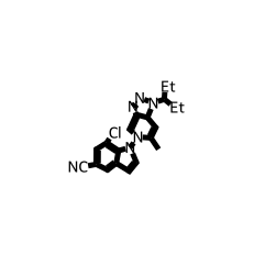 CCC(CC)N1N=NC2=CN(n3ccc4cc(C#N)cc(Cl)c43)C(C)=CC21